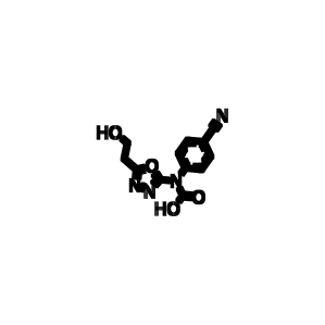 N#Cc1ccc(N(C(=O)O)c2nnc(CCO)o2)cc1